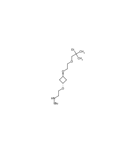 CCC(C)(C)COCCO[C@H]1C[C@H](OCCNC(C)(C)C)C1